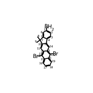 Bc1ccc2c(c1)C(C)(C)c1cc3c(Br)c4ccccc4c(Br)c3cc1-2